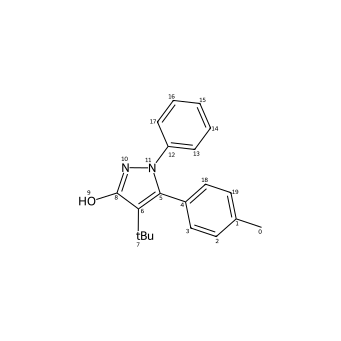 Cc1ccc(-c2c(C(C)(C)C)c(O)nn2-c2ccccc2)cc1